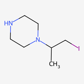 CC(CI)N1CCNCC1